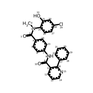 CN(C(=O)c1ccc(NC(=O)c2cccnc2-c2ccccc2)cc1)c1ccc(Cl)cc1O